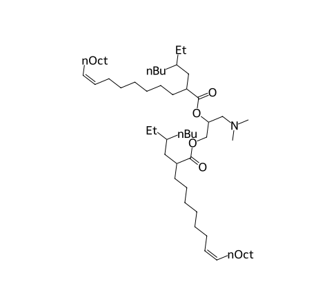 CCCCCCCC/C=C\CCCCCCC(CC(CC)CCCC)C(=O)OCC(CN(C)C)OC(=O)C(CCCCCC/C=C\CCCCCCCC)CC(CC)CCCC